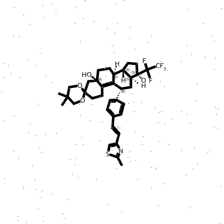 Cc1nc(/C=C/c2ccc([C@H]3C[C@@]4(C)[C@@H](CC[C@@]4(O)C(F)(F)C(F)(F)F)[C@@H]4CC[C@@]5(O)CC6(CCC5=C43)OCC(C)(C)CO6)cc2)cs1